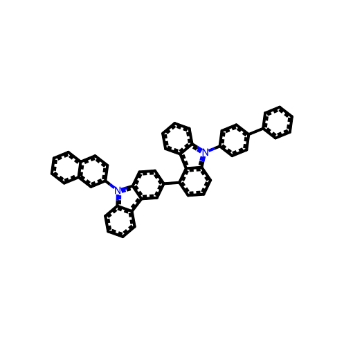 c1ccc(-c2ccc(-n3c4ccccc4c4c(-c5ccc6c(c5)c5ccccc5n6-c5ccc6ccccc6c5)cccc43)cc2)cc1